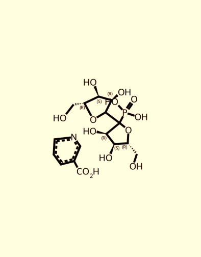 O=C(O)c1cccnc1.O=P(O)(O)C1(C2O[C@H](CO)[C@@H](O)[C@H]2O)O[C@H](CO)[C@@H](O)[C@H]1O